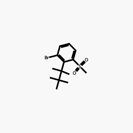 CC(C)(C)C(C)(C)c1c(Br)cccc1S(C)(=O)=O